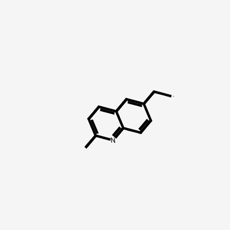 [CH2]Cc1ccc2nc(C)ccc2c1